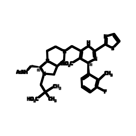 CCOC(=O)C1=C(CN2CCN3C(C2)CN(CC(C)(C)C(=O)O)[C@@H]3CNC(C)=O)NC(c2nccs2)=N[C@H]1c1cccc(F)c1C